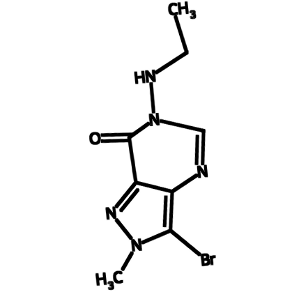 CCNn1cnc2c(Br)n(C)nc2c1=O